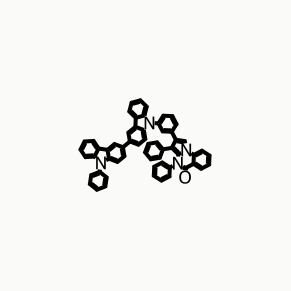 O=c1c2ccccc2n2cc(-c3cccc(-n4c5ccccc5c5cc(-c6ccc7c(c6)c6ccccc6n7-c6ccccc6)ccc54)c3)c(-c3ccccc3)c2n1-c1ccccc1